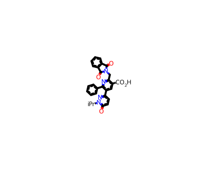 CC(C)n1nc(-c2cc(C(=O)O)c(CN3C(=O)c4ccccc4C3=O)nc2-c2ccccc2)ccc1=O